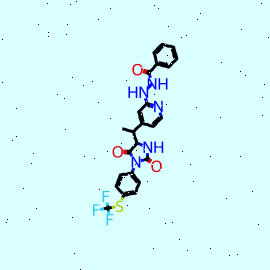 CC(c1ccnc(NNC(=O)c2ccccc2)c1)C1NC(=O)N(c2ccc(SC(F)(F)F)cc2)C1=O